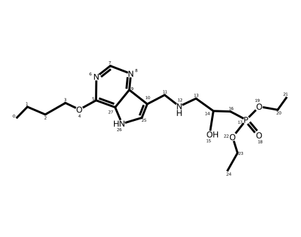 CCCCOc1ncnc2c(CNCC(O)CP(=O)(OCC)OCC)c[nH]c12